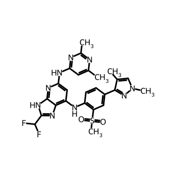 Cc1cc(Nc2cc(Nc3ccc(-c4nn(C)cc4C)cc3S(C)(=O)=O)c3nc(C(F)F)[nH]c3n2)nc(C)n1